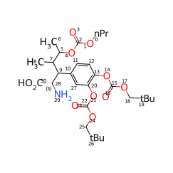 CCCOC(=O)OC(C)C(C)C(c1ccc(OC(=O)OCC(C)(C)C)c(OC(=O)OCC(C)(C)C)c1)[C@H](N)C(=O)O